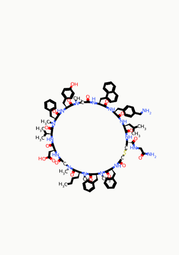 CCCC[C@H]1C(=O)N(C)CC(=O)N[C@@H](CC(=O)O)C(=O)N[C@@H](C(C)C)C(=O)N(C)[C@@H](Cc2ccccc2)C(=O)N[C@@H](Cc2ccc(O)cc2)C(=O)N(C)CC(=O)N[C@@H](Cc2cccc3ccccc23)C(=O)N[C@@H](Cc2ccc(CN)cc2)C(=O)N[C@@H](CC(C)C)C(=O)N[C@H](C(=O)NCC(N)=O)CSCC(=O)N[C@@H](Cc2ccccc2)C(=O)N(C)[C@@H](Cc2ccccc2)C(=O)N1C